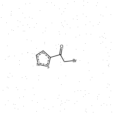 O=C(CBr)c1ccns1